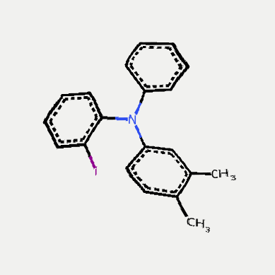 Cc1ccc(N(c2ccccc2)c2ccccc2I)cc1C